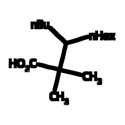 CCCCCCC(CCCC)C(C)(C)C(=O)O